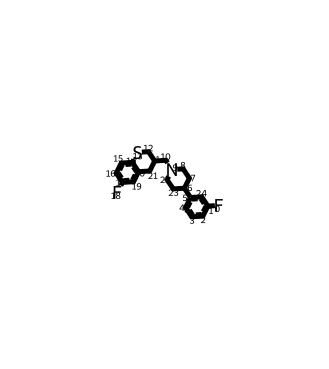 Fc1cc[c]c(C2CCN(CC3CSc4ccc(F)cc4C3)CC2)c1